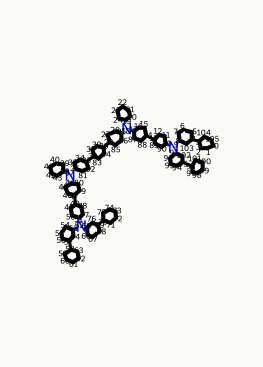 c1ccc(-c2cccc(N(c3ccc(-c4ccc(N(c5ccccc5)c5ccc(-c6ccc(-c7ccc(N(c8ccccc8)c8ccc(-c9ccc(N(c%10cccc(-c%11ccccc%11)c%10)c%10cccc(-c%11ccccc%11)c%10)cc9)cc8)cc7)cc6)cc5)cc4)cc3)c3cccc(-c4ccccc4)c3)c2)cc1